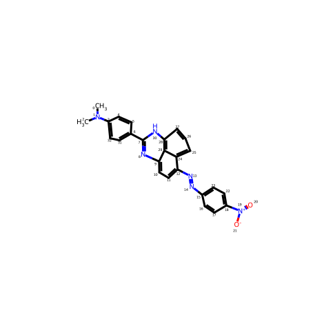 CN(C)c1ccc(C2=Nc3ccc(N=Nc4ccc([N+](=O)[O-])cc4)c4cccc(c34)N2)cc1